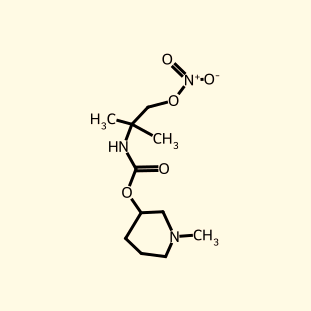 CN1CCCC(OC(=O)NC(C)(C)CO[N+](=O)[O-])C1